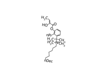 CC=C(O)C(=O)Oc1cccc(C(C)(C)[N+](C)(C)CCCCCCCCCCCCCCCC)c1CCC